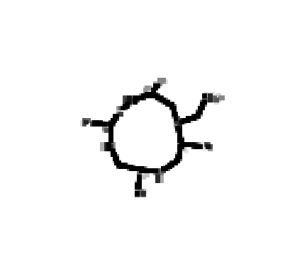 CC(C)[C@H]1CN[C@@H](C(C)C)CN[C@@H](C(C)C)CN[C@@H](C(C)C)CN1CC(=O)O